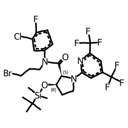 CC(C)(C)[Si](C)(C)O[C@@H]1CCN(c2cc(C(F)(F)F)cc(C(F)(F)F)n2)[C@@H]1C(=O)N(CCCBr)c1ccc(F)c(Cl)c1